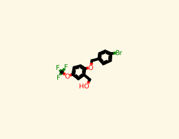 OCc1cc(OC(F)(F)F)ccc1OCc1ccc(Br)cc1